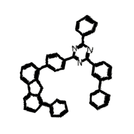 c1ccc(-c2cccc(-c3nc(-c4ccccc4)nc(-c4ccc(-c5cccc6c5Cc5c(-c7ccccc7)cccc5-6)cc4)n3)c2)cc1